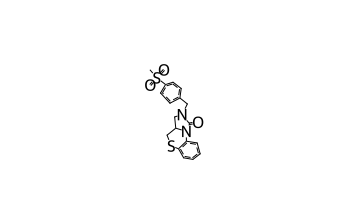 CS(=O)(=O)c1ccc(CN2CC3CSc4ccccc4N3C2=O)cc1